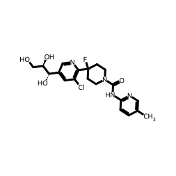 Cc1ccc(NC(=O)N2CCC(F)(c3ncc([C@H](O)[C@H](O)CO)cc3Cl)CC2)nc1